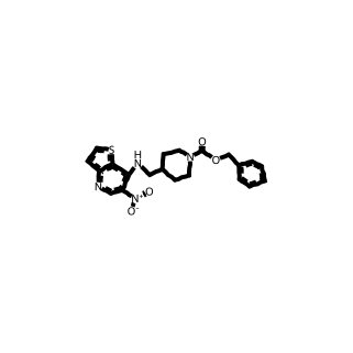 O=C(OCc1ccccc1)N1CCC(CNc2c([N+](=O)[O-])cnc3ccsc23)CC1